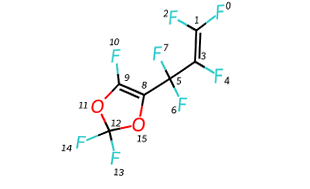 FC(F)=C(F)C(F)(F)C1=C(F)OC(F)(F)O1